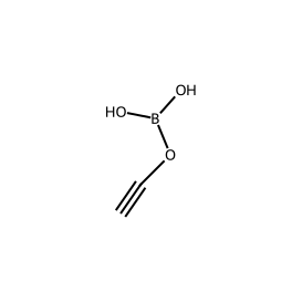 C#COB(O)O